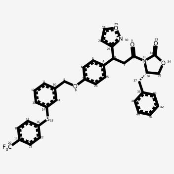 O=C(CC(c1ccc(OCc2cccc(Sc3ccc(C(F)(F)F)cc3)c2)cc1)c1ccon1)N1C(=O)OC[C@@H]1Cc1ccccc1